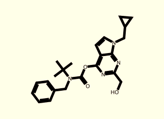 CC(C)(C)N(Cc1ccccc1)C(=O)Oc1nc(CO)nc2c1ccn2CC1CC1